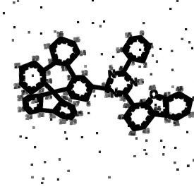 c1ccc(-c2nc(-c3ccc4c(c3)-c3ccccc3-c3ccccc3C43c4ccccc4-c4ccccc43)nc(-c3cccc4c3oc3ccccc34)n2)cc1